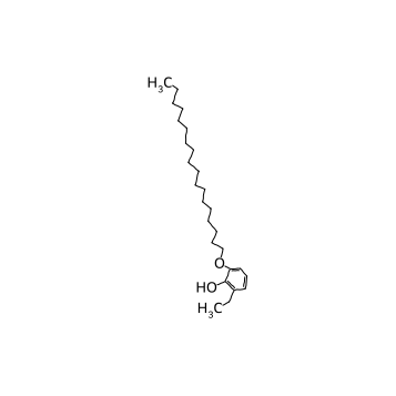 CCCCCCCCCCCCCCCCCCOc1cccc(CC)c1O